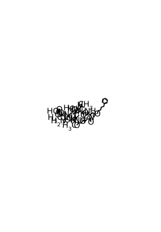 COCCOCCC(=O)N1C[C@H](OCCCCc2ccccc2)C[C@H]1C(=O)N[C@@H](CC(C)C)C(=O)N[C@@H](Cc1cnc[nH]1)C(=O)N[C@@H](CO)C(=O)N[C@H](C(N)=O)C(C)OP(=O)(O)O